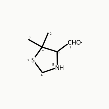 CC1(C)SCNC1[C]=O